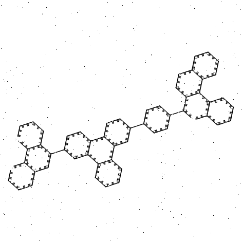 c1ccc2c(c1)ccc1c(-c3ccc(-c4ccc5c6ccc(-c7cc8cccnc8c8ncccc78)cc6c6ccccc6c5c4)cc3)nc3ccccc3c12